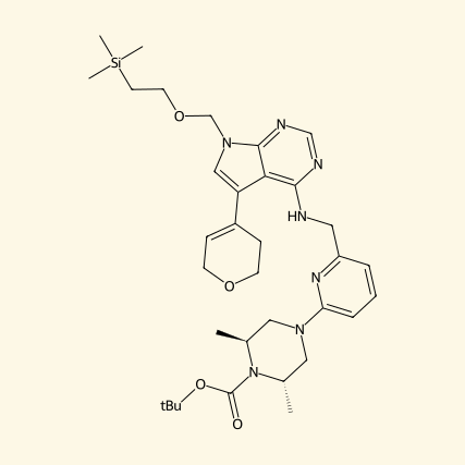 C[C@H]1CN(c2cccc(CNc3ncnc4c3c(C3=CCOCC3)cn4COCC[Si](C)(C)C)n2)C[C@H](C)N1C(=O)OC(C)(C)C